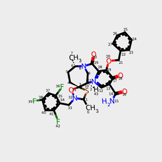 CC1S[C@]2(CC[C@H](C)N3C[C@H]2n2cc(C(N)=O)c(=O)c(OCc4ccccc4)c2C3=O)ON1Cc1c(F)cc(F)cc1F